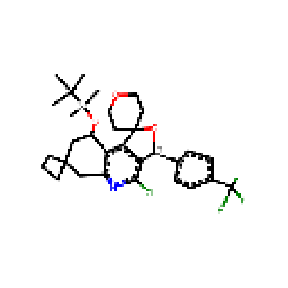 CC(C)(C)[Si](C)(C)OC1CC2(CCC2)Cc2nc(Cl)c3c(c21)C1(CCOCC1)O[C@H]3c1ccc(C(F)(F)F)cc1